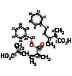 C=C(C(=O)O)C(C)C=Cc1ccccc1.C=C(C)C(=O)O.C=C(C)C(=O)OCc1ccccc1